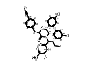 CCC[C@@H](C(=O)N[C@H](C)C(=O)O)N1C(=O)[C@@H](Cc2ccc(C#N)cc2)O[C@H](c2ccc(Cl)cc2)[C@@H]1c1ccc(Cl)cc1